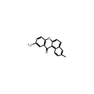 Cc1ccc2c(ccc3oc4ccc(C(F)(F)F)cc4c(=O)c32)c1